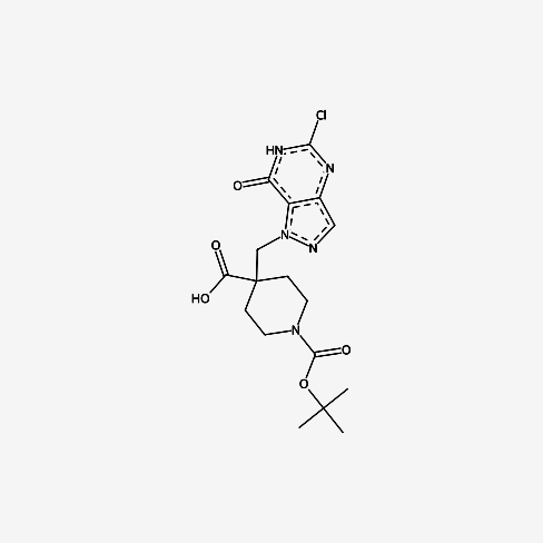 CC(C)(C)OC(=O)N1CCC(Cn2ncc3nc(Cl)[nH]c(=O)c32)(C(=O)O)CC1